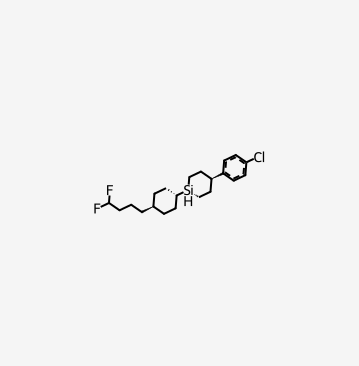 FC(F)CCC[C@H]1CC[C@H]([Si@H]2CC[C@H](c3ccc(Cl)cc3)CC2)CC1